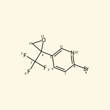 FC(F)(F)C1(c2ccc(Br)nc2)CO1